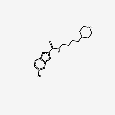 N#Cc1ccc2cn(C(=O)NCCCCC3CCNCC3)cc2c1